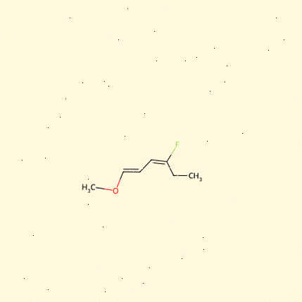 CC/C(F)=C\C=C\OC